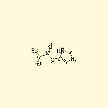 CCC(CC)C(=O)Oc1cnc[nH]1